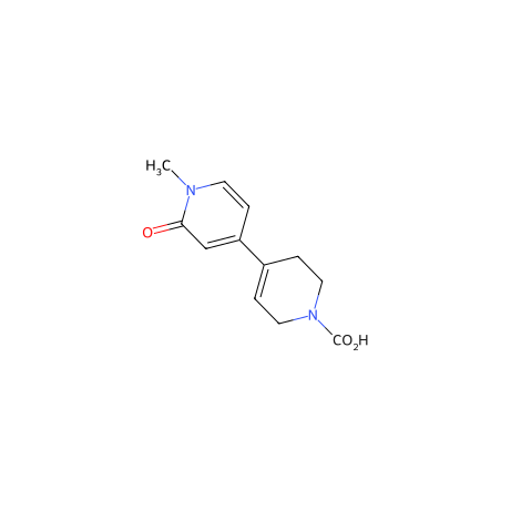 Cn1ccc(C2=CCN(C(=O)O)CC2)cc1=O